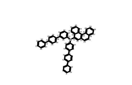 c1ccc(-c2ccc(-c3ccc(N(c4cccc(-c5ccc(-c6ccccc6)cc5)c4)c4cc5ccc6ccccc6c5c5ccccc45)cc3)cc2)cc1